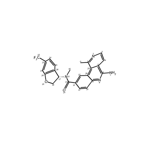 Cc1nccc2c(N)nc3ccc(C(=O)N(C)[C@@H]4COc5cc(C(F)(F)F)ccc54)cc3c12